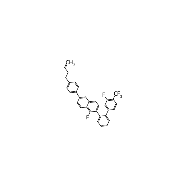 C=CCCc1ccc(-c2ccc3c(F)c(-c4ccccc4-c4ccc(C(F)(F)F)c(F)c4)ccc3c2)cc1